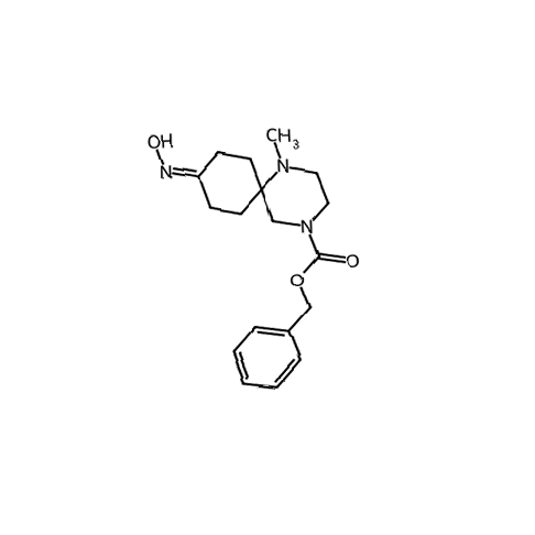 CN1CCN(C(=O)OCc2ccccc2)CC12CCC(=NO)CC2